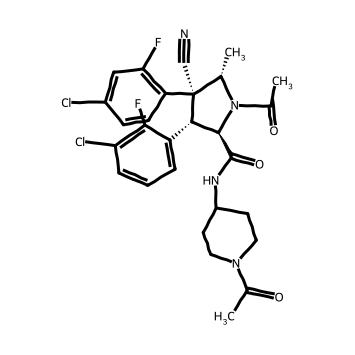 CC(=O)N1CCC(NC(=O)[C@H]2[C@H](c3cccc(Cl)c3F)[C@@](C#N)(c3ccc(Cl)cc3F)[C@H](C)N2C(C)=O)CC1